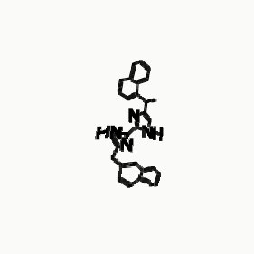 CC(c1c[nH]c(-c2nc(Cc3ccc4ccccc4c3)c[nH]2)n1)c1cccc2ccccc12